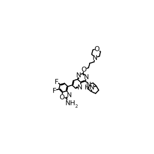 Nc1nc2c(-c3cnc4c(N5CC6CCC(C5)N6)nc(OCCCN5CCOCC5)nc4c3)cc(F)c(F)c2o1